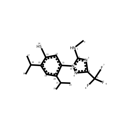 CNc1nc(C(F)(F)F)nn1-c1cc(S)c(C(C)C)cc1C(C)C